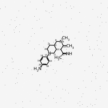 CC(=N)CC(C)N(C)CC1CCN(c2ccc(N)cc2)CC1